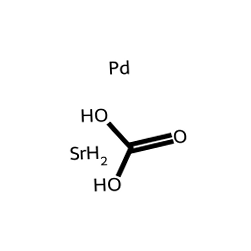 O=C(O)O.[Pd].[SrH2]